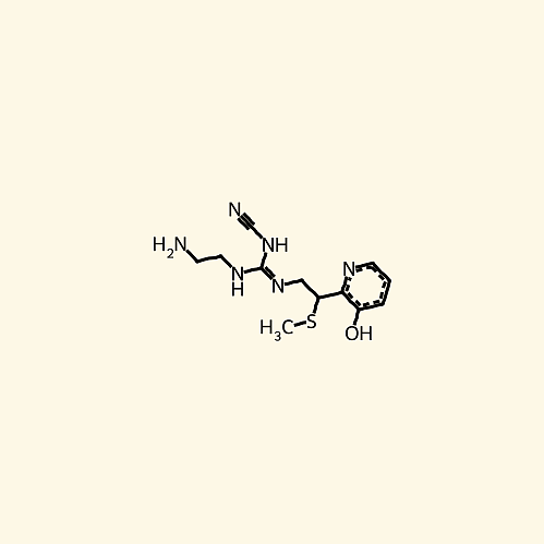 CSC(CN=C(NC#N)NCCN)c1ncccc1O